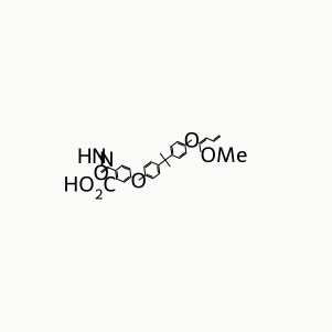 C=C/C=C(\COC)Oc1ccc(C(C)(C)c2ccc(Oc3ccc(C(=O)N=N)c(C(=O)O)c3)cc2)cc1